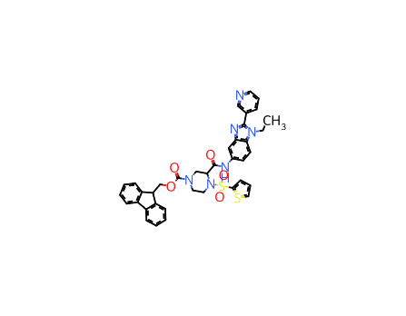 CCn1c(-c2cccnc2)nc2cc(NC(=O)C3CN(C(=O)OCC4c5ccccc5-c5ccccc54)CCN3S(=O)(=O)c3cccs3)ccc21